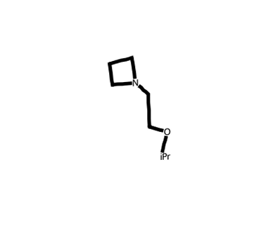 CC(C)OCCN1CCC1